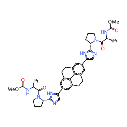 COC(=O)N[C@H](C(=O)N1CCC[C@H]1c1ncc(-c2cc3c4c(c2)CCc2cc(-c5cnc([C@@H]6CCCN6C(=O)[C@@H](NC(=O)OC)C(C)C)[nH]5)cc(c2-4)CC3)[nH]1)C(C)C